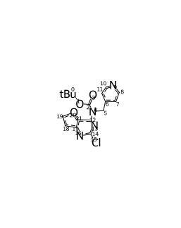 CC(C)(C)OC(=O)N(Cc1ccncc1)c1nc(Cl)nc2ccoc12